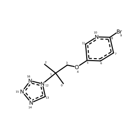 CC(C)(COc1ccc(Br)nc1)n1cnnn1